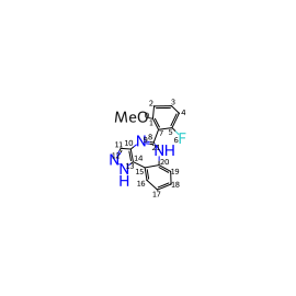 COc1cccc(F)c1C1=Nc2cn[nH]c2-c2ccccc2N1